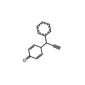 C#CC(c1ccccc1)C1C=CC(=O)C=C1